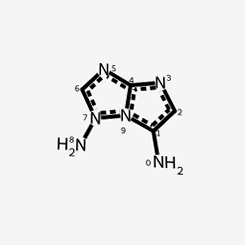 Nc1cnc2ncn(N)n12